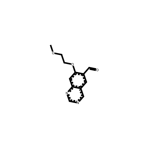 COCCOc1cc2ncncc2cc1C=O